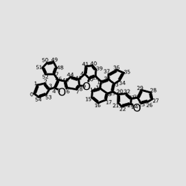 c1ccc(-c2oc3cc4oc5c(-c6c7ccccc7c(-c7ccc8oc9ccccc9c8c7)c7ccccc67)cccc5c4cc3c2-c2ccccc2)cc1